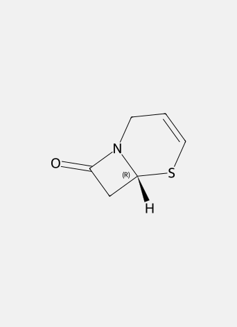 O=C1C[C@H]2SC=CCN12